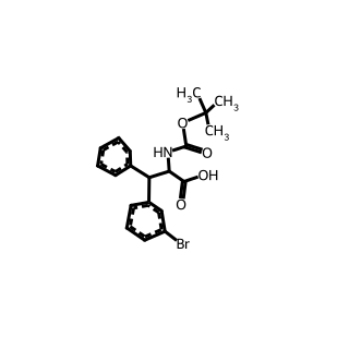 CC(C)(C)OC(=O)NC(C(=O)O)C(c1ccccc1)c1cccc(Br)c1